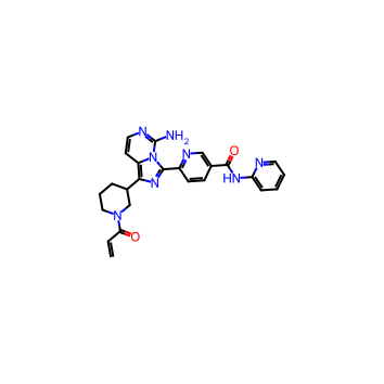 C=CC(=O)N1CCCC(c2nc(-c3ccc(C(=O)Nc4ccccn4)cn3)n3c(N)nccc23)C1